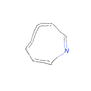 C1=CC=CN=CC=1